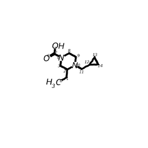 CCC1CN(C(=O)O)CCN1CC1CC1